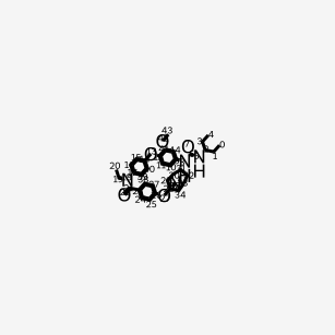 CCC(CC)NC(=O)Nc1ccc(Oc2ccc(N(CC)C(=O)c3ccc(OC4CC5CCC(C4)N5C)cc3)cc2)c(OC)c1